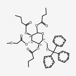 CCCC(=O)OC1O[C@H](COC(c2ccccc2)(c2ccccc2)c2ccccc2)[C@@H](OC(=O)CCC)[C@H](OC(=O)CCC)[C@H]1OC(=O)CCC